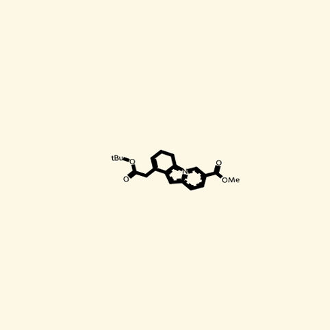 COC(=O)c1ccc2cc3c(n2c1)CCC=C3CC(=O)OC(C)(C)C